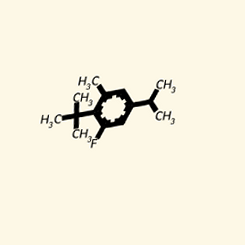 Cc1cc(C(C)C)cc(F)c1C(C)(C)C